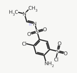 CN(C)/C=N/S(=O)(=O)c1cc(S(=O)(=O)Cl)c(N)cc1Cl